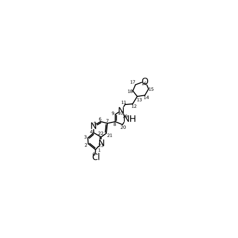 Clc1ccc2ncc(C3=CN(CCC4CCOCC4)NC3)cc2n1